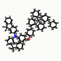 CC1(C)c2ccccc2-c2ccc(N(c3ccc4oc5ccc(-c6cccc7c6-c6ccccc6C76c7ccccc7-c7ccc(-c8ccccc8)cc76)cc5c4c3)c3cccc4c3-c3ccccc3C4(C)C)cc21